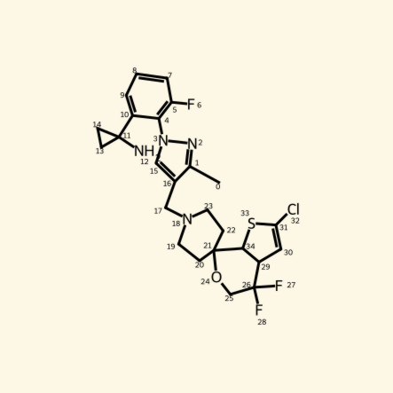 Cc1nn(-c2c(F)cccc2C2(N)CC2)cc1CN1CCC2(CC1)OCC(F)(F)C1C=C(Cl)SC12